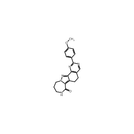 COc1ccc(-c2ncc3c(n2)-c2nn4c(c2CC3)C(=O)NCCC4)cc1